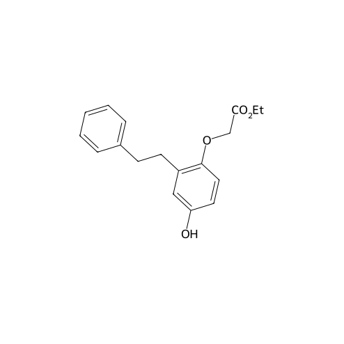 CCOC(=O)COc1ccc(O)cc1CCc1ccccc1